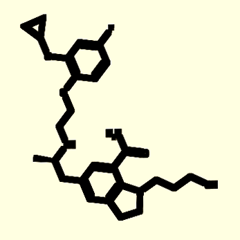 C[C@H](Cc1cc2c(c(C(N)=O)c1)N(CCCO)CC2)NCCOc1ccc(F)cc1OC1CC1